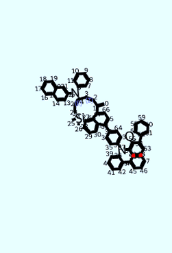 C=C1/C=C\C(N(c2ccccc2)c2ccc3ccccc3c2)=C/C[Si](C)(C)c2cccc3c(-c4ccc(N(c5ccccc5-c5ccccc5)c5cccc6c5oc5ccccc56)cc4)ccc1c23